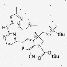 Cc1cc(Nc2nccc(-c3cc(C#N)c4c(c3)[C@](C)(CO[Si](C)(C)C(C)(C)C)CN4C(=O)OC(C)(C)C)n2)n(CCN(C)C)n1